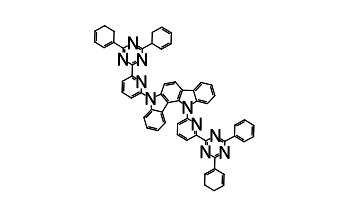 C1=CCCC(c2nc(-c3cccc(-n4c5ccccc5c5c4ccc4c6ccccc6n(-c6cccc(-c7nc(C8=CCCC=C8)nc(-c8ccccc8)n7)n6)c45)n3)nc(C3C=CC=CC3)n2)=C1